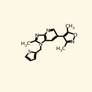 Cc1noc(C)c1-c1cnc2nc(C)n(Cc3cccs3)c2c1